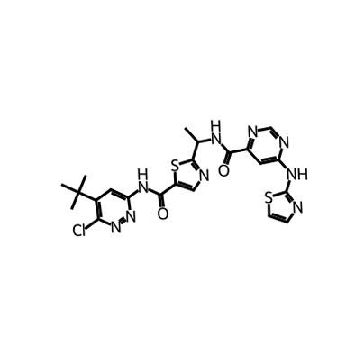 CC(NC(=O)c1cc(Nc2nccs2)ncn1)c1ncc(C(=O)Nc2cc(C(C)(C)C)c(Cl)nn2)s1